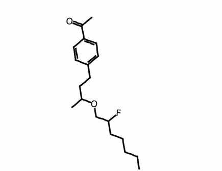 CCCCCC(F)COC(C)CCc1ccc(C(C)=O)cc1